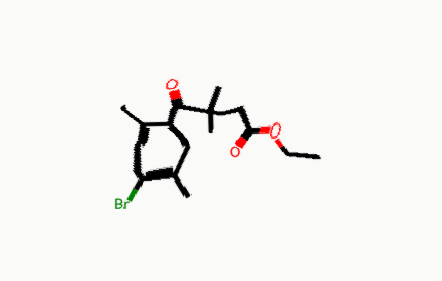 CCOC(=O)CC(C)(C)C(=O)c1cc(C)c(Br)cc1C